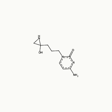 Nc1ccn(CCCC2(O)CN2)c(=O)n1